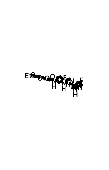 CCOCCOCCOCC(=O)N[C@@H]1CCC[C@H](Nc2nc(-c3c[nH]c4ncc(F)cc34)ncc2F)C1